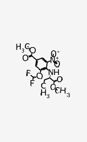 CCC(Nc1c(OC(F)F)cc(C(=O)OC)cc1[N+](=O)[O-])C(=O)OC